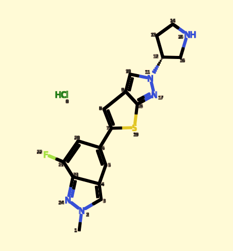 Cl.Cn1cc2cc(-c3cc4cn([C@@H]5CCNC5)nc4s3)cc(F)c2n1